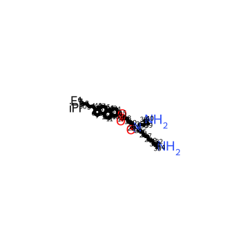 CCC(CCCC1CCC2C3CC=C4CC(OC(=O)CCCC(=O)N(CCCCCCCC(C)(C)N)CCC(C)(C)N)CCC4(C)C3CCC12C)C(C)C